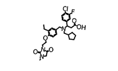 CCc1cc(CN(CC2CCCC2)C(CC(=O)O)c2ccc(Cl)c(F)c2)ccc1OCCN1C(=O)CN(C)C1=O